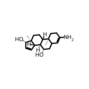 C[C@]12CC[C@H]3[C@@H]([C@@H](O)CC4C=C(N)CC[C@@]43C)[C@@H]1C=C[C@@H]2O